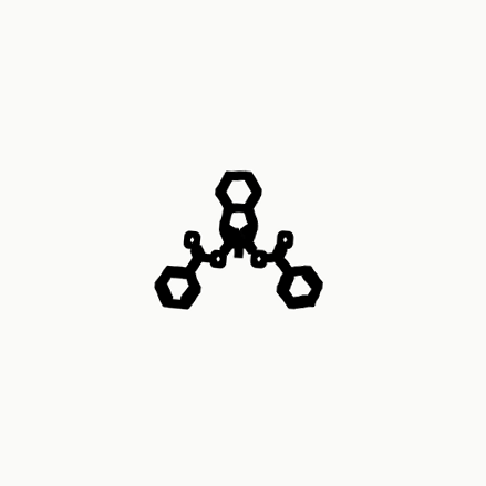 CN1C2C3CCCCC3C1C(OC(=O)c1ccccc1)C2OC(=O)c1ccccc1